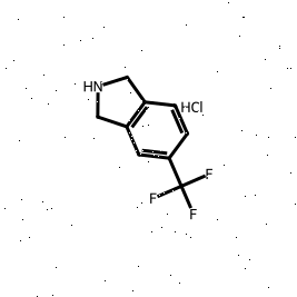 Cl.FC(F)(F)c1ccc2c(c1)CNC2